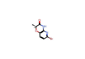 C[C@@H]1Oc2ccc(Br)nc2NC1=O